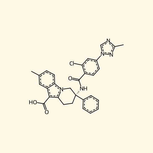 Cc1ccc2c(c1)c(C(=O)O)c1n2C[C@@](NC(=O)c2ccc(-n3cnc(C)n3)cc2Cl)(c2ccccc2)CC1